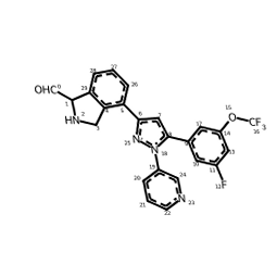 O=CC1NCc2c(-c3cc(-c4cc(F)cc(OC(F)(F)F)c4)n(-c4cccnc4)n3)cccc21